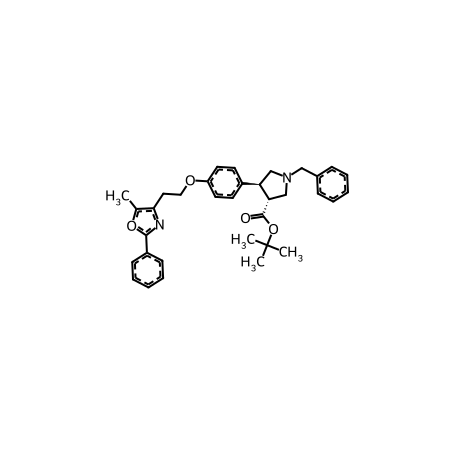 Cc1oc(-c2ccccc2)nc1CCOc1ccc([C@H]2CN(Cc3ccccc3)C[C@@H]2C(=O)OC(C)(C)C)cc1